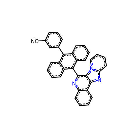 N#Cc1cccc(-c2c3ccccc3c(-c3nc4ccccc4c4nc5ccccn5c34)c3ccccc23)c1